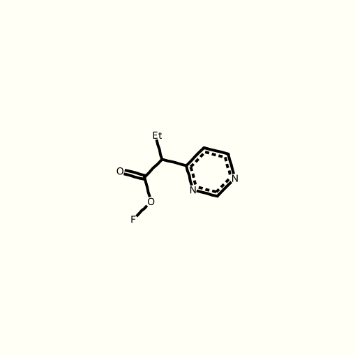 CCC(C(=O)OF)c1ccncn1